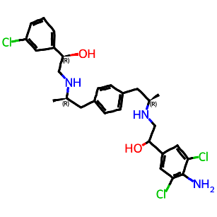 C[C@H](Cc1ccc(C[C@@H](C)NC[C@H](O)c2cccc(Cl)c2)cc1)NCC(O)c1cc(Cl)c(N)c(Cl)c1